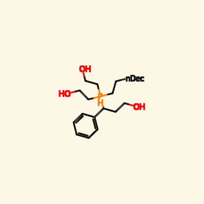 CCCCCCCCCCCC[PH](CCO)(CCO)C(CCO)c1ccccc1